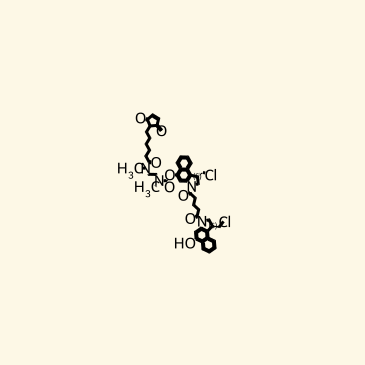 CN(CCN(C)C(=O)Oc1cc2c(c3ccccc13)[C@H](CCl)CN2C(=O)CCCC(=O)N1C[C@@H](CCl)c2c1cc(O)c1ccccc21)C(=O)CCCCCC1C(=O)C=CC1=O